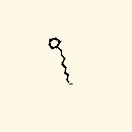 OCC=CC=CCCCc1ccccc1